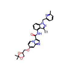 CCc1nn(Cc2cccc(C)n2)c2cccc(NC(=O)c3cnc4cc(OCC5COC(C)(C)O5)ccn34)c12